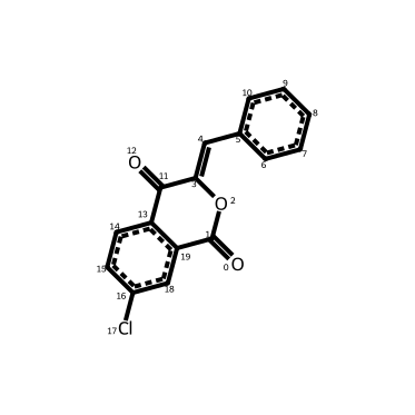 O=C1O/C(=C\c2ccccc2)C(=O)c2ccc(Cl)cc21